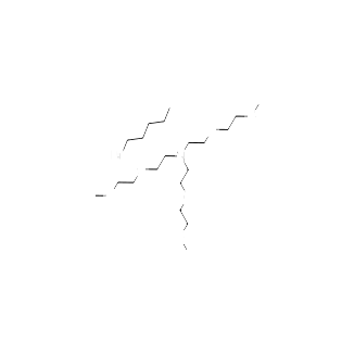 CCCCCBr.COCCOCCN(CCOCCOC)CCOCCOC